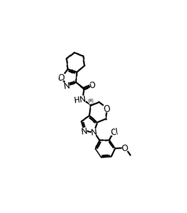 COc1cccc(-n2ncc3c2COC[C@@H]3NC(=O)c2noc3c2CCCC3)c1Cl